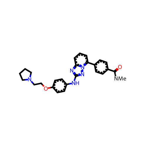 CNC(=O)c1ccc(-c2cccc3nc(Nc4ccc(OCCN5CCCC5)cc4)nn23)cc1